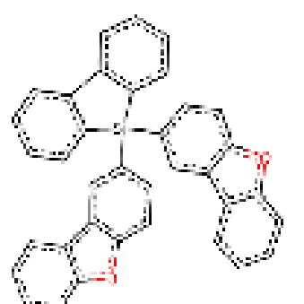 c1ccc2c(c1)-c1ccccc1[Si]2(c1ccc2oc3ccccc3c2c1)c1ccc2oc3ccccc3c2c1